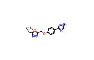 CCc1nnc(COc2ccc(-c3c[nH]cn3)cc2)o1